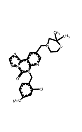 COc1ccc(Cn2c(=O)n3ncnc3c3cc(CN4CCOC(C)(C)C4)cnc32)c(Cl)c1